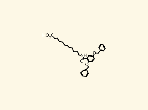 O=C(O)CCCCCCCCCCCNC(=O)c1cc(OCc2ccccc2)ccc1OCc1ccccc1